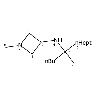 CCCCCCCC(C)(CCCC)NC1CN(C)C1